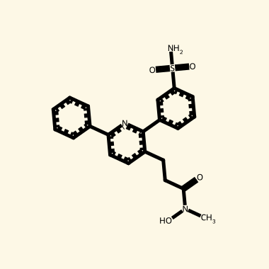 CN(O)C(=O)CCc1ccc(-c2ccccc2)nc1-c1cccc(S(N)(=O)=O)c1